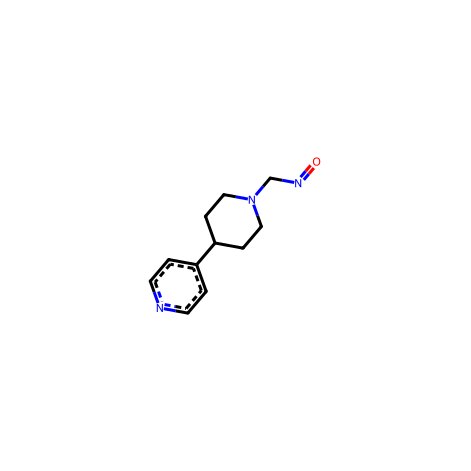 O=NCN1CCC(c2ccncc2)CC1